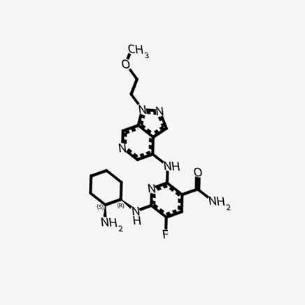 COCCn1ncc2c(Nc3nc(N[C@@H]4CCCC[C@@H]4N)c(F)cc3C(N)=O)cncc21